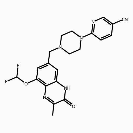 Cc1nc2c(OC(F)F)cc(CN3CCN(c4ccc(C#N)cn4)CC3)cc2[nH]c1=O